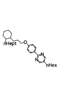 CCCCCCCC1CCCCC1CCCOc1ccc(-c2ncc(CCCCCC)cn2)cc1